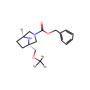 [2H]C([2H])([2H])OC[C@@]12CC[C@@H](CN(C(=O)OCc3ccccc3)C1)N2